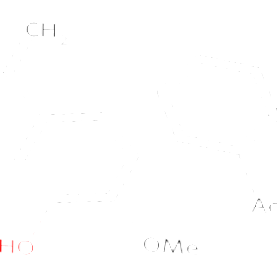 C=Cc1ccc(OC)c(O)c1.CC(=O)c1ccccc1